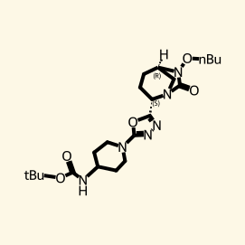 CCCCON1C(=O)N2C[C@H]1CC[C@H]2c1nnc(N2CCC(NC(=O)OC(C)(C)C)CC2)o1